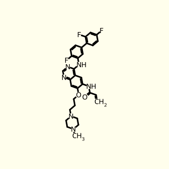 C=CC(=O)Nc1cc2c(Nc3cc(-c4ccc(F)cc4F)ccc3F)ncnc2cc1OCCCN1CCN(C)CC1